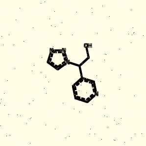 OCC(c1cccnc1)n1ccnn1